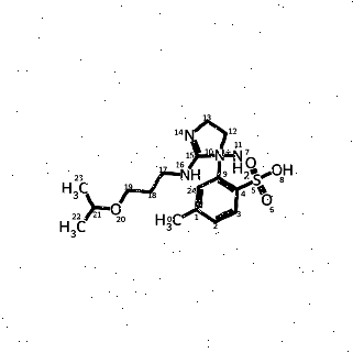 Cc1ccc(S(=O)(=O)O)c([N+]2(N)CCN=C2NCCCOC(C)C)c1